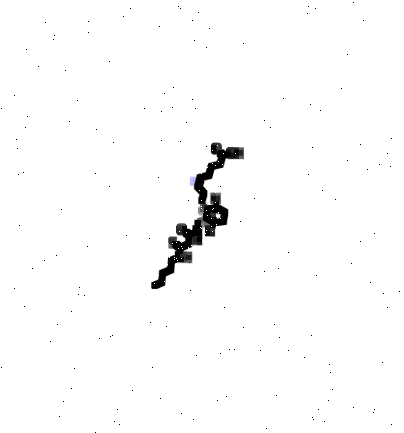 CCCCCNC(=S)CC(=O)NC[C@@H]1[C@H](CC/C=C\CCCC(=O)O)[C@@H]2CC[C@H]1O2